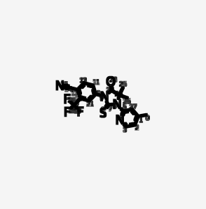 Cc1ccnc(N2C(=S)N(c3ccc(C#N)c(C(F)(F)F)c3)C(=O)C2(C)C)c1